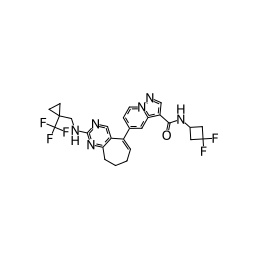 O=C(NC1CC(F)(F)C1)c1cnn2ccc(C3=CCCCc4nc(NCC5(C(F)(F)F)CC5)ncc43)cc12